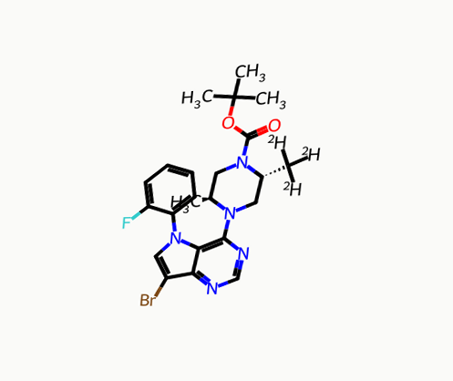 [2H]C([2H])([2H])[C@@H]1CN(c2ncnc3c(Br)cn(-c4ccccc4F)c23)[C@@H](C)CN1C(=O)OC(C)(C)C